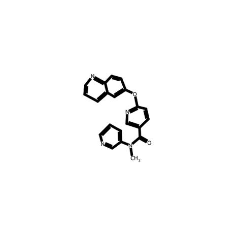 CN(C(=O)c1ccc(Oc2ccc3ncccc3c2)nc1)c1cccnc1